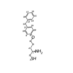 N[C@@H](CS)CCCOc1ccc(Cc2ccccc2)cc1